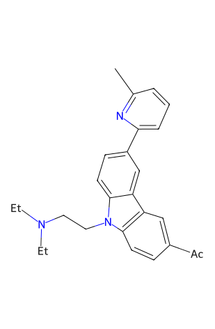 CCN(CC)CCn1c2ccc(C(C)=O)cc2c2cc(-c3cccc(C)n3)ccc21